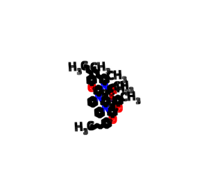 CCCCc1ccc(Oc2cc3c4c(c2)N(c2ccccc2)c2cc5c(cc2B4c2c(CCCC)cc(C)cc2O3)B2c3c(I)cc(C)cc3N(c3cc(C)cc(CCCC)c3)c3cc(Oc4ccc(CCCC)cc4)cc(c32)N5c2ccccc2)cc1